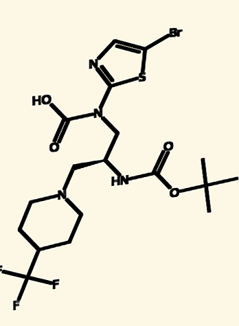 CC(C)(C)OC(=O)N[C@@H](CN1CCC(C(F)(F)F)CC1)CN(C(=O)O)c1ncc(Br)s1